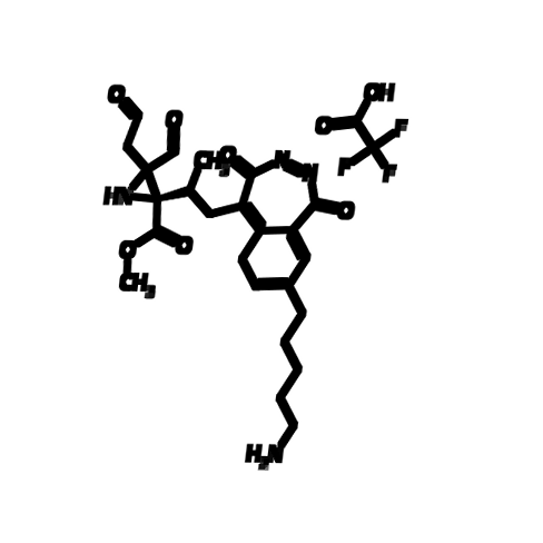 COC(=O)[C@]1(C(C)CC2=C3CC=C(CCCCCN)C=C3C(=O)N=NC2=O)NC1(C=O)CC=O.O=C(O)C(F)(F)F